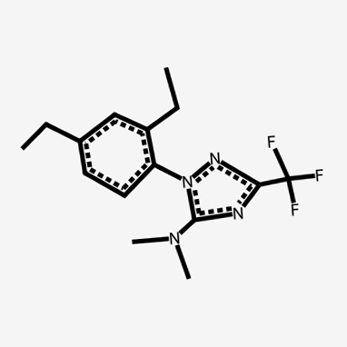 CCc1ccc(-n2nc(C(F)(F)F)nc2N(C)C)c(CC)c1